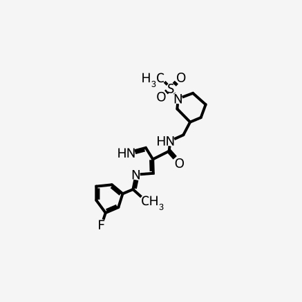 C/C(=N\C=C(/C=N)C(=O)NCC1CCCN(S(C)(=O)=O)C1)c1cccc(F)c1